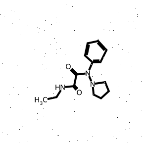 CCNC(=O)C(=O)N(c1cc[c]cc1)N1CCCC1